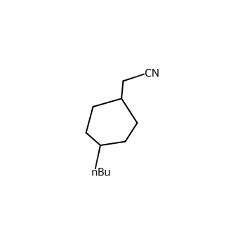 CCCCC1CCC(CC#N)CC1